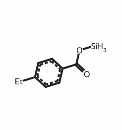 CCc1ccc(C(=O)O[SiH3])cc1